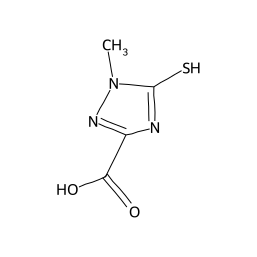 Cn1nc(C(=O)O)nc1S